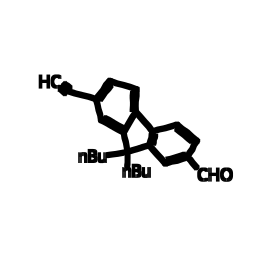 C#Cc1ccc2c(c1)C(CCCC)(CCCC)c1cc(C=O)ccc1-2